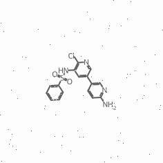 Nc1ccc(-c2cnc(Cl)c(NS(=O)(=O)c3ccccc3)c2)cn1